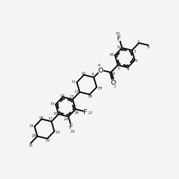 CCc1ccc(C(=O)OC2CCC(c3ccc(C4CCC(C)CC4)c(F)c3F)CC2)cc1F